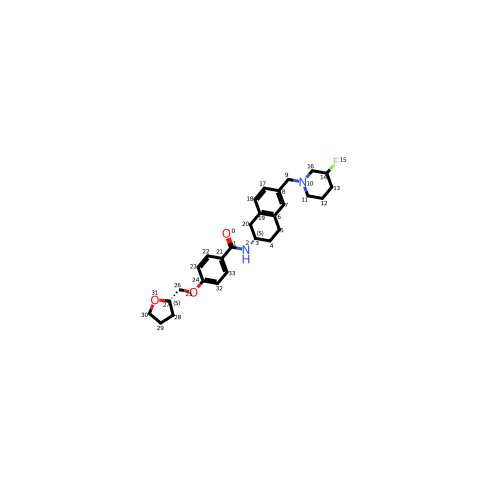 O=C(N[C@H]1CCc2cc(CN3CCCC(F)C3)ccc2C1)c1ccc(OC[C@@H]2CCCO2)cc1